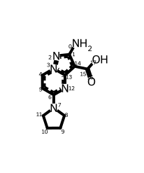 Nc1nn2ccc(N3CCCC3)nc2c1C(=O)O